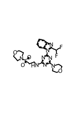 O=S(=O)(CCNc1nc(N2CCOCC2)nc(-n2c(C(F)F)nc3ccccc32)n1)N1CCOCC1